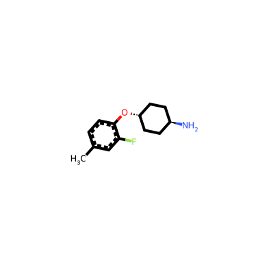 Cc1ccc(O[C@H]2CC[C@H](N)CC2)c(F)c1